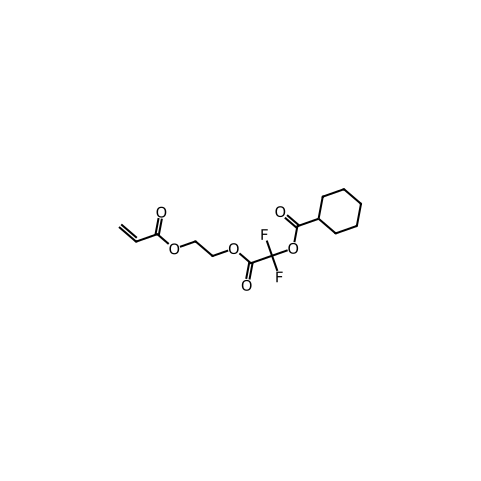 C=CC(=O)OCCOC(=O)C(F)(F)OC(=O)C1CCCCC1